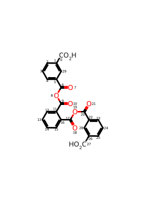 O=C(O)c1cccc(C(=O)OC(=O)c2ccccc2C(=O)OC(=O)c2cccc(C(=O)O)c2)c1